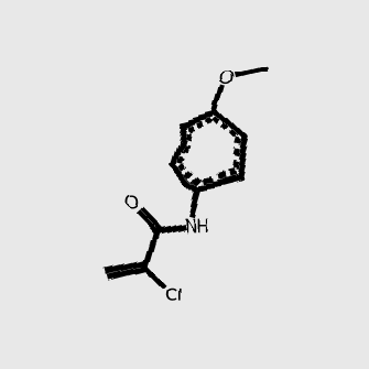 C=C(Cl)C(=O)Nc1ccc(OC)cc1